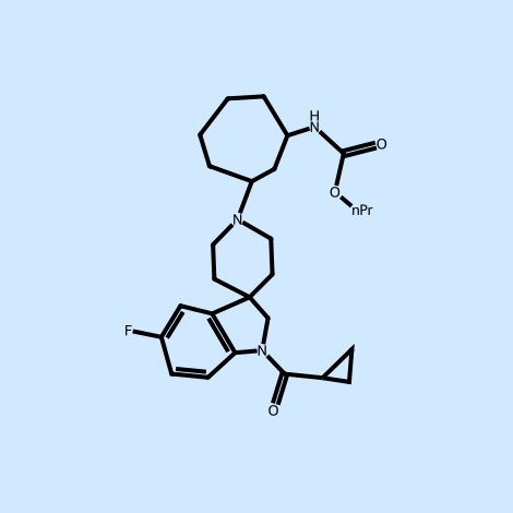 CCCOC(=O)NC1CCCCC(N2CCC3(CC2)CN(C(=O)C2CC2)c2ccc(F)cc23)C1